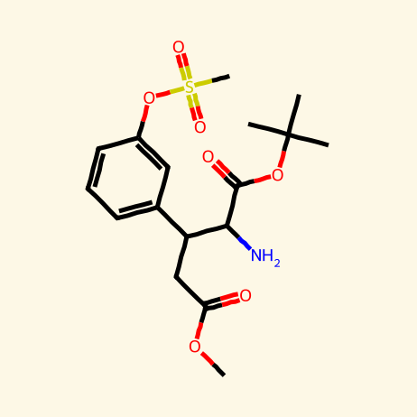 COC(=O)CC(c1cccc(OS(C)(=O)=O)c1)C(N)C(=O)OC(C)(C)C